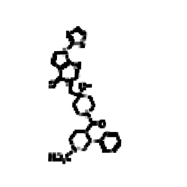 O=C(O)N1CC[C@@H](C(=O)N2CCC(O)(Cn3cnc4c(ccn4-c4nccs4)c3=O)CC2)[C@H](c2ccccc2)C1